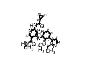 CCn1nccc1-c1cccc(Nc2cc(NC(=O)C3CC3)ncc2C(=O)NC)c1OC